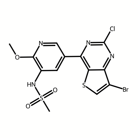 COc1ncc(-c2nc(Cl)nc3c(Br)csc23)cc1NS(C)(=O)=O